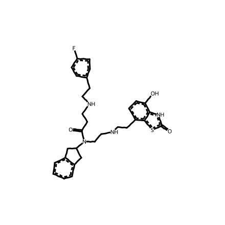 O=C(CCNCCc1ccc(F)cc1)N(CCNCCc1ccc(O)c2[nH]c(=O)sc12)C1Cc2ccccc2C1